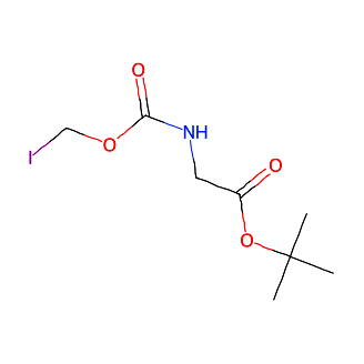 CC(C)(C)OC(=O)CNC(=O)OCI